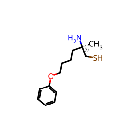 C[C@](N)(CS)CCCCOc1ccccc1